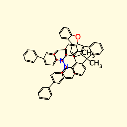 Cc1cccc(N(c2ccccc2)c2ccc(-c3ccccc3)cc2)c1-c1c(N(c2ccccc2)c2ccc(-c3ccccc3)cc2)cccc1C1(C)c2ccccc2-c2c1ccc1c2oc2ccccc21